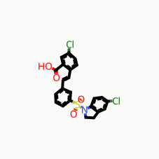 O=C(O)c1cc(Cl)ccc1C=Cc1cccc(S(=O)(=O)N2CCc3cc(Cl)ccc32)c1